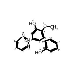 COc1ccccc1O.Oc1ccccc1.c1cnnnc1